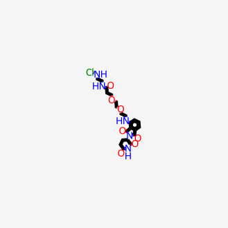 O=C(CCOCCOCCNc1cccc2c1C(=O)N(C1CCC(=O)NC1=O)C2=O)NCCNCl